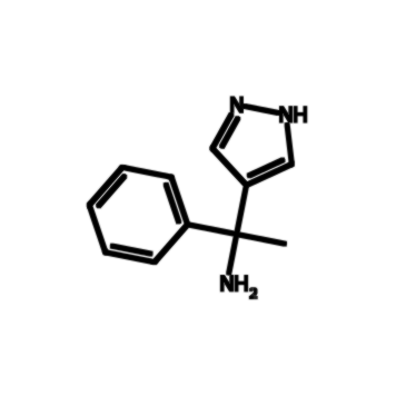 CC(N)(c1ccccc1)c1cn[nH]c1